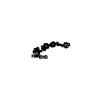 C[C@](CCn1cc2cc(-c3ccc(OCCCN4CCOCC4)cc3)ccc2n1)(CN(O)C=O)S(C)(=O)=O